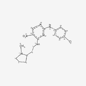 CN1CCCC1CCNc1nc(Nc2ccc(Cl)cc2)ncc1[N+](=O)[O-]